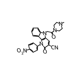 CN1CCN(C(=O)Cn2c3ccccc3c3c2cc(C#N)c(=O)n3-c2ccc([N+](=O)[O-])cc2)CC1